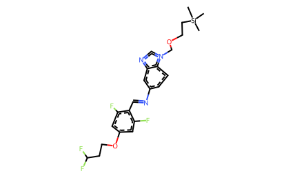 C[Si](C)(C)CCOCn1cnc2cc(N=Cc3c(F)cc(OCCC(F)F)cc3F)ccc21